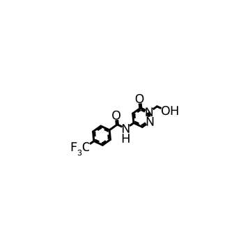 O=C(Nc1cnn(CO)c(=O)c1)c1ccc(C(F)(F)F)cc1